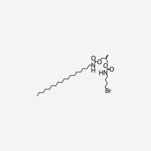 C=C(COC(=O)NCCCCBr)COC(=O)NCCCCCCCCCCCCCCCCCC